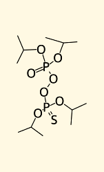 CC(C)OP(=O)(OOP(=S)(OC(C)C)OC(C)C)OC(C)C